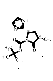 C[C@H]1C[C@@H](c2ncc[nH]2)N(C(=O)OC(C)(C)C)C1=O